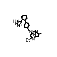 CCc1cc(NCc2ccc(-c3ccccc3-c3nnn[nH]3)cc2)n2nc(C)cc2n1